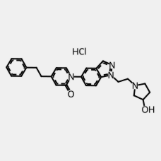 Cl.O=c1cc(CCc2ccccc2)ccn1-c1ccc2c(cnn2CCN2CCC(O)C2)c1